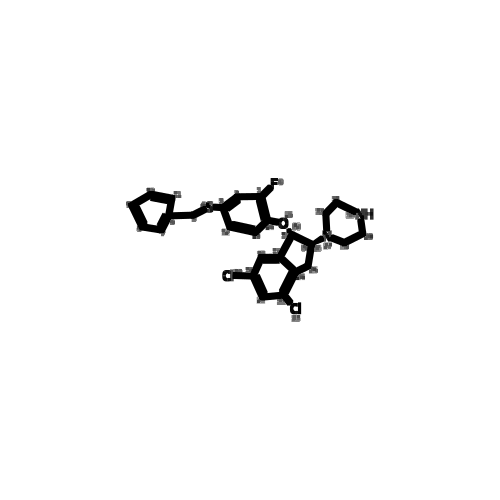 Fc1cc(SCc2ccccc2)ccc1O[C@H]1c2cc(Cl)cc(Cl)c2C[C@@H]1N1CCNCC1